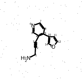 NCC#Cc1cnccc1-c1ccoc1